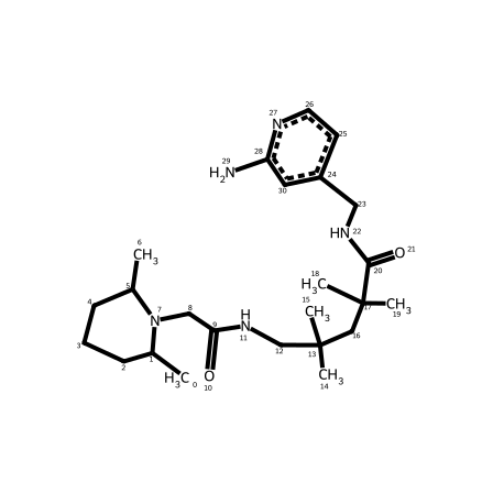 CC1CCCC(C)N1CC(=O)NCC(C)(C)CC(C)(C)C(=O)NCc1ccnc(N)c1